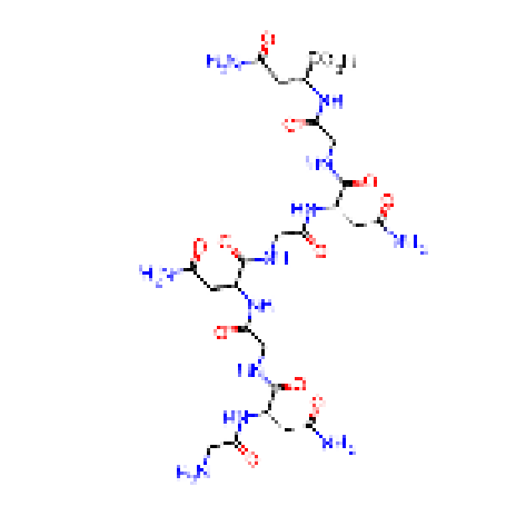 NCC(=O)N[C@@H](CC(N)=O)C(=O)NCC(=O)N[C@@H](CC(N)=O)C(=O)NCC(=O)N[C@@H](CC(N)=O)C(=O)NCC(=O)N[C@@H](CC(N)=O)C(=O)O